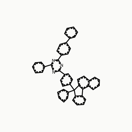 c1ccc(-c2ccc(-c3nc(-c4ccccc4)nc(-c4ccc(C5(c6ccccc6)c6ccccc6-c6c5ccc5ccccc65)cc4)n3)cc2)cc1